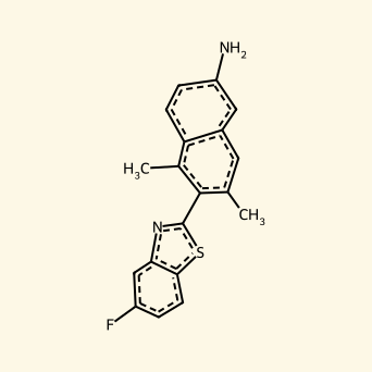 Cc1cc2cc(N)ccc2c(C)c1-c1nc2cc(F)ccc2s1